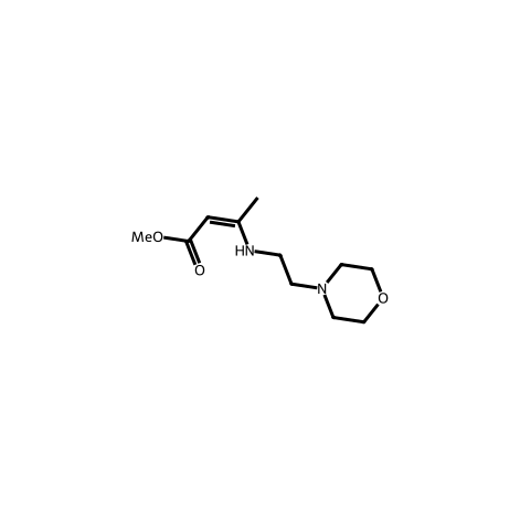 COC(=O)/C=C(/C)NCCN1CCOCC1